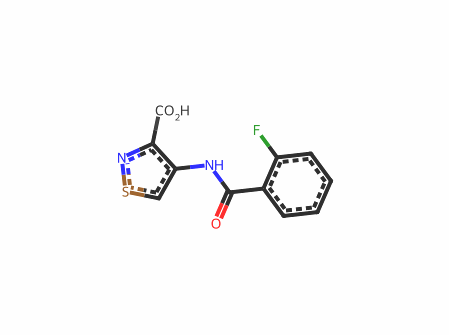 O=C(Nc1csnc1C(=O)O)c1ccccc1F